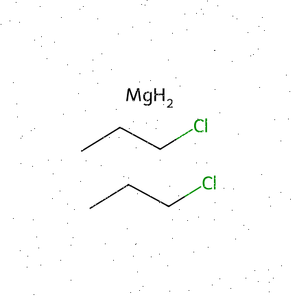 CCCCl.CCCCl.[MgH2]